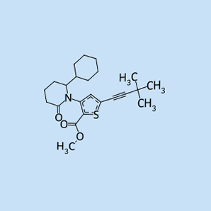 COC(=O)c1sc(C#CC(C)(C)C)cc1N1C(=O)CCCC1C1CCCCC1